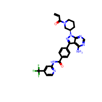 C=CC(=O)N1CCC[C@@H](n2nc(-c3ccc(C(=O)Nc4cc(C(F)(F)F)ccn4)cc3)c3c(N)ncnc32)C1